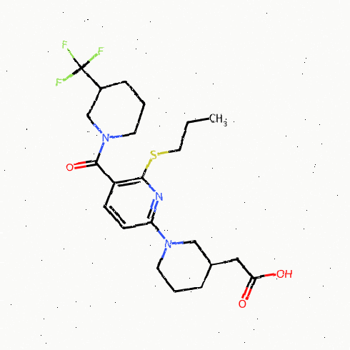 CCCSc1nc(N2CCCC(CC(=O)O)C2)ccc1C(=O)N1CCCC(C(F)(F)F)C1